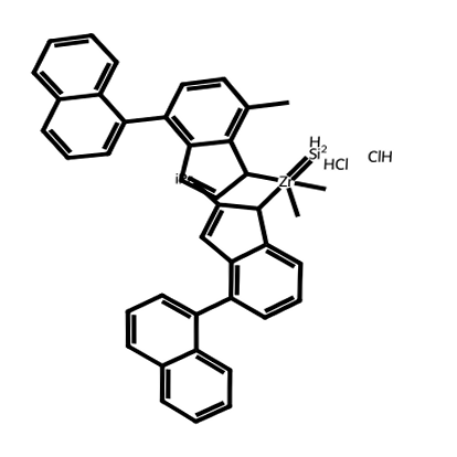 Cc1ccc(-c2cccc3ccccc23)c2c1[CH]([Zr]([CH3])([CH3])(=[SiH2])[CH]1C(C(C)C)=Cc3c(-c4cccc5ccccc45)cccc31)C=C2.Cl.Cl